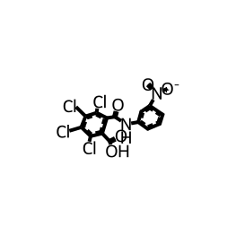 O=C(O)c1c(Cl)c(Cl)c(Cl)c(Cl)c1C(=O)Nc1cccc([N+](=O)[O-])c1